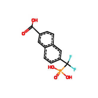 O=C(O)c1ccc2cc(C(F)(F)P(=O)(O)O)ccc2c1